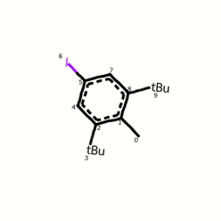 Cc1c(C(C)(C)C)cc(I)cc1C(C)(C)C